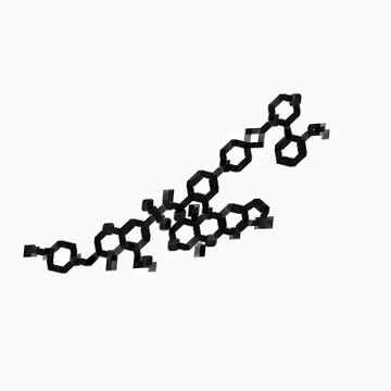 Cc1ccccc1[C@@H]1COCCN1C1CC2(CCN(c3ccc(C(=O)NS(=O)(=O)c4cc5c(c([N+](=O)[O-])c4)N[C@@H](CN4CCN(C(C)C)CC4)CO5)c(N4c5cc6cc[nH]c6nc5O[C@H]5COCC[C@@H]54)c3)CC2)C1